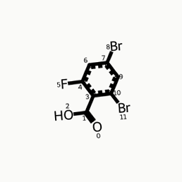 O=C(O)c1c(F)cc(Br)cc1Br